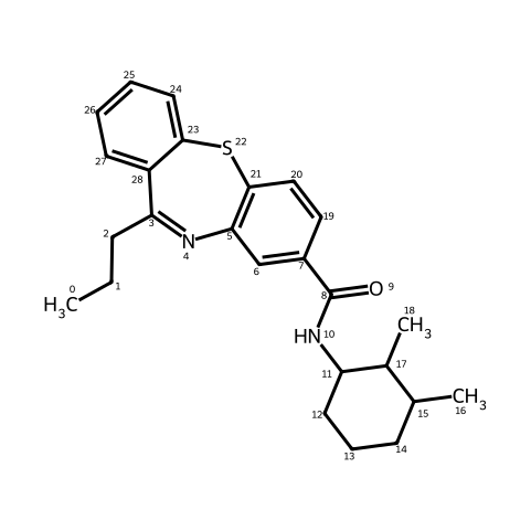 CCCC1=Nc2cc(C(=O)NC3CCCC(C)C3C)ccc2Sc2ccccc21